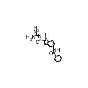 NC(N)=NC(=O)c1cc2cc(NC(=O)c3ccccc3)ccc2[nH]1